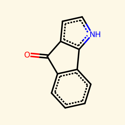 O=C1c2ccccc2-c2[nH]ccc21